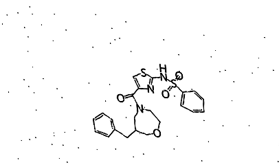 O=C(c1csc(NS(=O)(=O)c2ccccc2)n1)N1CCOCC(Cc2ccccc2)C1